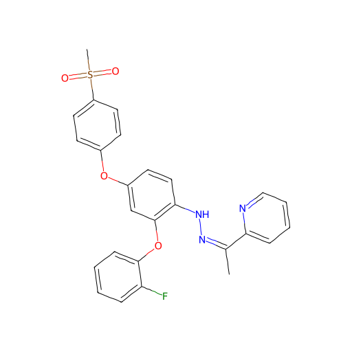 CC(=NNc1ccc(Oc2ccc(S(C)(=O)=O)cc2)cc1Oc1ccccc1F)c1ccccn1